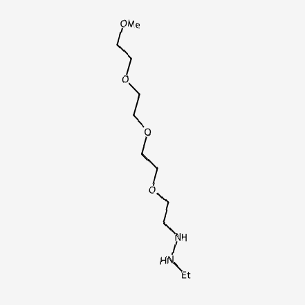 CCNNCCOCCOCCOCCOC